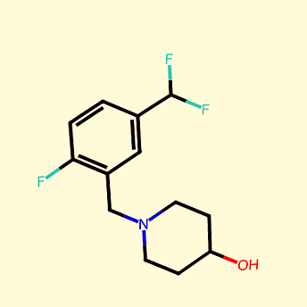 OC1CCN(Cc2cc(C(F)F)ccc2F)CC1